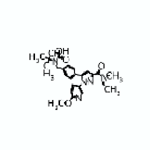 CCN(C)C(=O)c1cc(-c2ccc(CN(C(=O)O)C(C)(C)C)cc2)n(-c2ccc(OC)nc2)n1